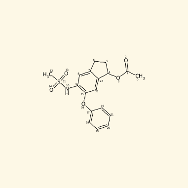 CC(=O)OC1CCc2cc(NS(C)(=O)=O)c(Oc3ccccc3)cc21